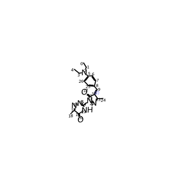 CCN(CC)c1ccc(/C=C2\C(=O)N(c3nnc(C)c(=O)[nH]3)N=C2C)cc1